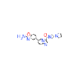 Nc1nc2cc(-c3ccc4ncc(C(=O)N5CC(N6CCCC6)C5)n4c3)ccc2o1